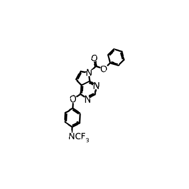 O=C(Oc1ccccc1)n1ccc2c(Oc3ccc(NC(F)(F)F)cc3)ncnc21